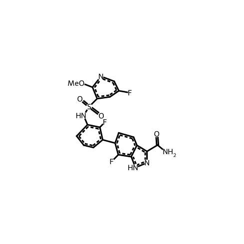 COc1ncc(F)cc1S(=O)(=O)Nc1cccc(-c2ccc3c(C(N)=O)n[nH]c3c2F)c1F